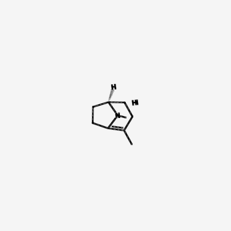 CC1=C2CC[C@@H](CC1)N2C.I